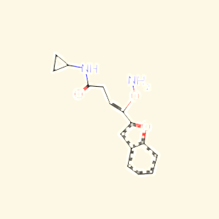 NO/C(=C\CC(=O)NC1CC1)c1cc2ccccc2o1